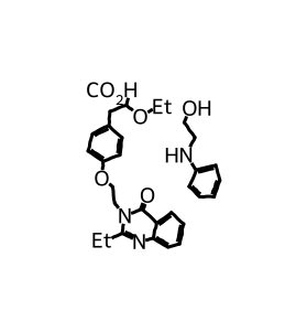 CCOC(Cc1ccc(OCCn2c(CC)nc3ccccc3c2=O)cc1)C(=O)O.OCCNc1ccccc1